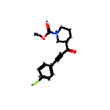 CC(C)(C)OC(=O)N1CCCC(C(=O)C#Cc2ccc(F)cc2)C1